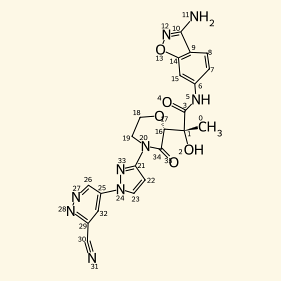 C[C@](O)(C(=O)Nc1ccc2c(N)noc2c1)[C@H]1OCCN(c2ccn(-c3cnnc(C#N)c3)n2)C1=O